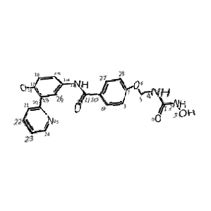 O=C(NO)NCOc1ccc(C(=O)Nc2ccc(Cl)c(-c3ccccn3)c2)cc1